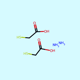 N.N.O=C(O)CS.O=C(O)CS